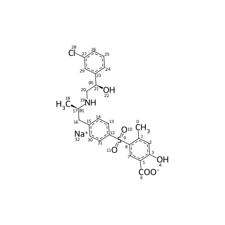 Cc1cc(O)c(C(=O)[O-])cc1S(=O)(=O)c1ccc(C[C@@H](C)NC[C@H](O)c2cccc(Cl)c2)cc1.[Na+]